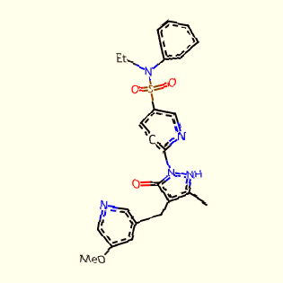 CCN(c1ccccc1)S(=O)(=O)c1ccc(-n2[nH]c(C)c(Cc3cncc(OC)c3)c2=O)nc1